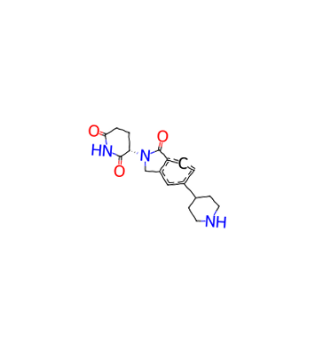 O=C1CC[C@H](N2Cc3cc(C4CCNCC4)ccc3C2=O)C(=O)N1